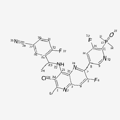 Cc1nc2cc(F)c(-c3cnc(P(C)(C)=O)c(F)c3)nc2c(NC(C)c2cc(C#N)ccc2F)c1Cl